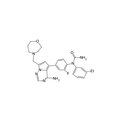 CCc1cccc(N(C(N)=O)c2ccc(-c3cc(CN4CCCOCC4)n4ncnc(N)c34)cc2F)c1